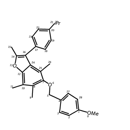 COc1ccc(COc2c(C)c(C)c3oc(C)c(-c4ccc(C(C)C)cc4)c3c2C)cc1